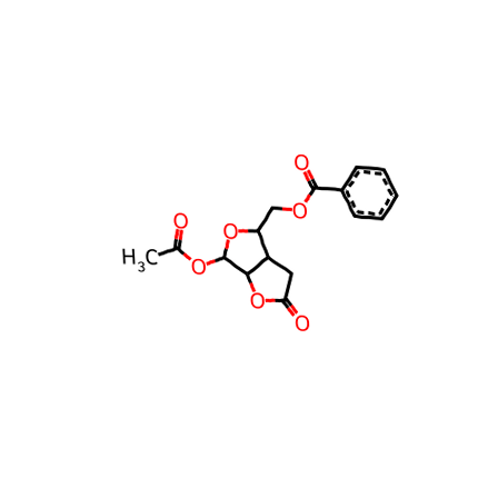 CC(=O)OC1OC(COC(=O)c2ccccc2)C2CC(=O)OC12